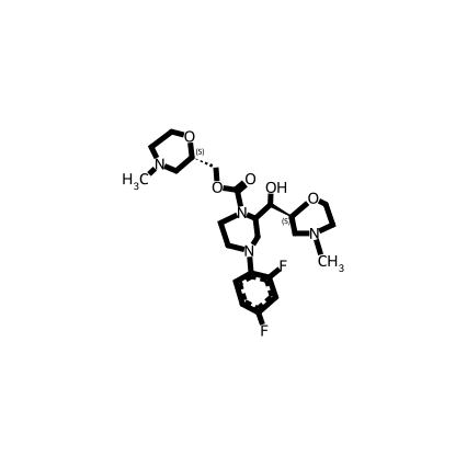 CN1CCO[C@H](COC(=O)N2CCN(c3ccc(F)cc3F)CC2C(O)[C@@H]2CN(C)CCO2)C1